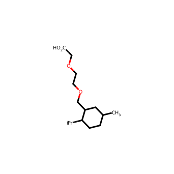 CC1CCC(C(C)C)C(COCCOCC(=O)O)C1